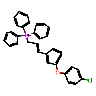 Clc1ccc(Oc2cccc(/C=C/C[PH](c3ccccc3)(c3ccccc3)c3ccccc3)c2)cc1